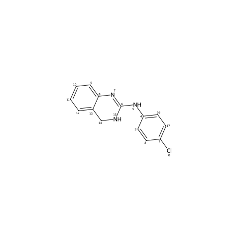 Clc1ccc(NC2=Nc3ccccc3CN2)cc1